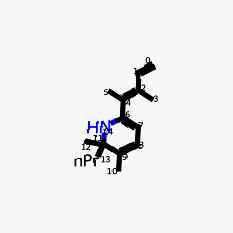 C=C/C(C)=C(\C)C1=CC=C(C)C(C)(CCC)N1